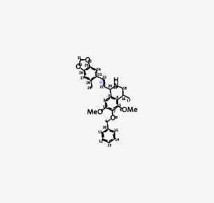 COc1cc2c(c(OC)c1OCc1ccccc1)C(C)CNC2/C=C/c1cc2c(cc1C)OCO2